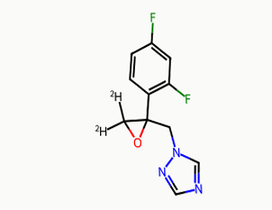 [2H]C1([2H])OC1(Cn1cncn1)c1ccc(F)cc1F